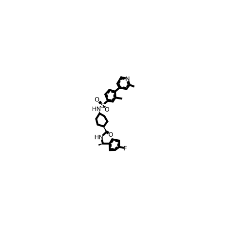 Cc1cc(-c2ccc(S(=O)(=O)N[C@H]3CC[C@H](C(=O)N[C@H](C)c4ccc(F)cc4)CC3)cc2C)ccn1